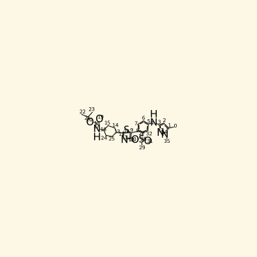 Cc1cc(Nc2ccc(-c3cnc(C4CCC(NC(=O)OC(C)C)CC4)s3)c(S(C)(=O)=O)c2)nn1C